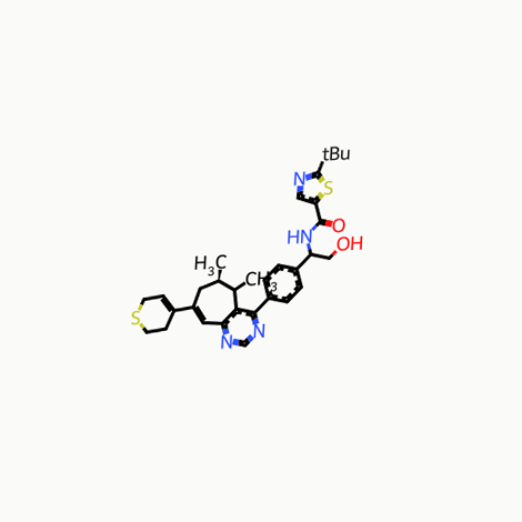 CC1c2c(ncnc2-c2ccc(C(CO)NC(=O)c3cnc(C(C)(C)C)s3)cc2)C=C(C2=CCSCC2)C[C@H]1C